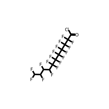 O=C(Cl)C(F)(F)C(F)(F)C(F)(F)C(F)(F)C(F)(F)C(F)(F)C(F)C(F)C(F)C(F)F